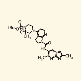 Cc1cn2cc(NC(=O)N3CCc4c(N5CCN(C(=O)OC(C)(C)C)C(C)(C)C5)ccnc43)c(C)nc2n1